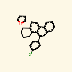 Clc1ccc(-c2cc3ccccc3c3ccc4c(c23)CCCC4)cc1.c1ccoc1